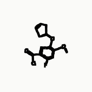 COc1cc(F)c(C(=O)Cl)cc1OC1CC=CC1